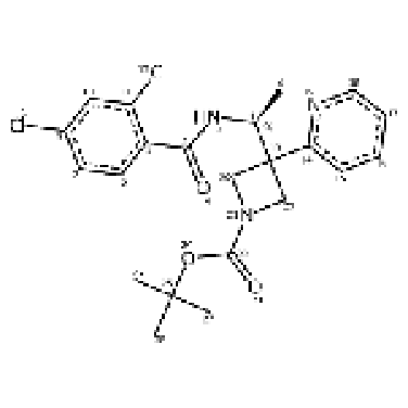 C[C@H](NC(=O)c1ccc(Cl)cc1Cl)C1(c2ccccn2)CN(C(=O)OC(C)(C)C)C1